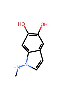 CNn1ccc2cc(O)c(O)cc21